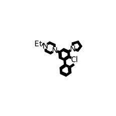 CCN1CCN(c2cc(-c3ccccc3C)c(Cl)c(N3CCCC3)c2)CC1